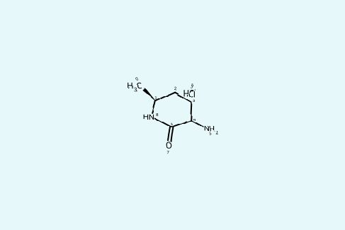 C[C@H]1CCC(N)C(=O)N1.Cl